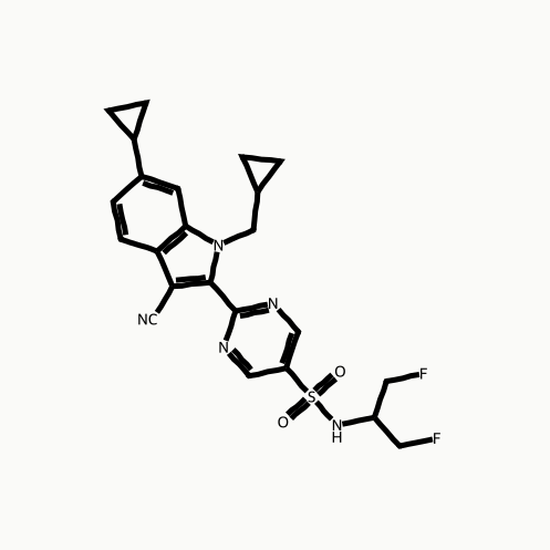 N#Cc1c(-c2ncc(S(=O)(=O)NC(CF)CF)cn2)n(CC2CC2)c2cc(C3CC3)ccc12